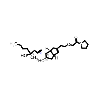 CCCC[C@](C)(O)C/C=C/[C@@H]1[C@H]2CC(CCOCC(=O)N3CCCC3)=C[C@H]2C[C@H]1O